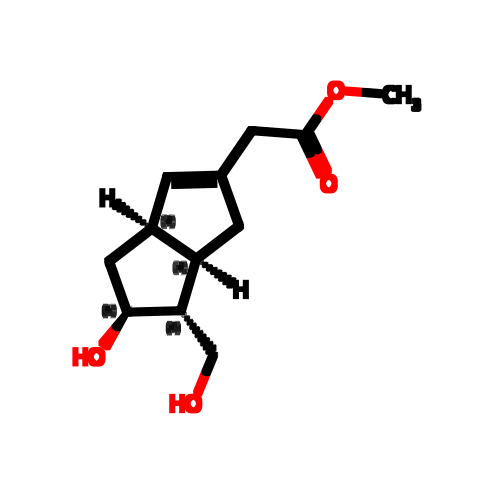 COC(=O)CC1=C[C@@H]2C[C@H](O)[C@@H](CO)[C@@H]2C1